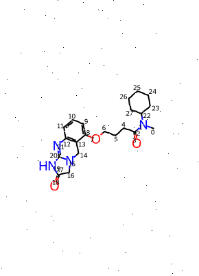 CN(C(=O)CCCOc1cccc2c1CN1CC(=O)NC1=N2)C1CCCCC1